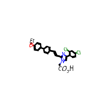 CCOc1ccc(-c2ccc(C=Cc3nc(-c4ccc(Cl)cc4Cl)cn3CC(=O)O)cc2)cc1